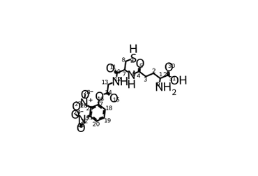 NC(CCC(=O)NC(CS)C(=O)NCC(=O)Oc1cccc([N+](=O)[O-])c1[N+](=O)[O-])C(=O)O